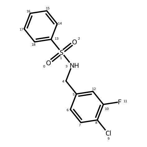 O=S(=O)(NCc1ccc(Cl)c(F)c1)c1[c]cccc1